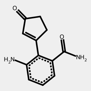 NC(=O)c1cccc(N)c1C1=CC(=O)CC1